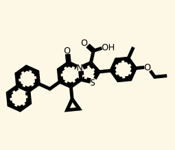 CCOc1ccc(-c2sc3c(C4CC4)c(Cc4cccc5ccccc45)cc(=O)n3c2C(=O)O)cc1C